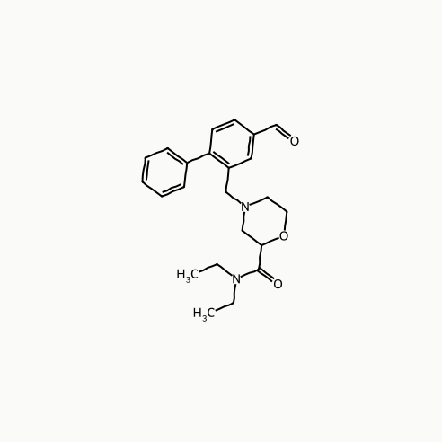 CCN(CC)C(=O)C1CN(Cc2cc(C=O)ccc2-c2ccccc2)CCO1